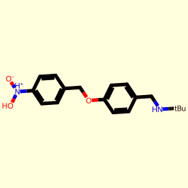 CC(C)(C)NCc1ccc(OCc2ccc([NH+]([O-])O)cc2)cc1